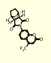 O=C1[C@@H]2[C@H](C(=O)N1c1ccc3c(C(F)(F)F)cc(=O)oc3c1)[C@H]1CC[C@@H]2O1